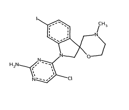 CN1CCOC2(C1)CN(c1nc(N)ncc1Cl)c1cc(I)ccc12